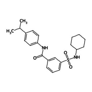 CC(C)c1ccc(NC(=O)c2cccc(S(=O)(=O)NC3CCCCC3)c2)cc1